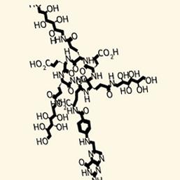 CNC(=O)[C@H](CCC(=O)NC[C@H](O)[C@@H](O)[C@H](O)[C@H](O)CO)NC(=O)[C@H](CCC(=O)O)NC(=O)[C@H](CCC(=O)NC[C@H](O)[C@@H](O)[C@H](O)[C@H](O)CO)NC(=O)[C@H](CCC(=O)O)NC(=O)[C@H](CCC(=O)NC[C@H](O)[C@@H](O)[C@H](O)[C@H](O)CO)NC(=O)CC[C@H](NC(=O)c1ccc(NCc2cnc3nc(N)[nH]c(=O)c3n2)cc1)C(=O)O